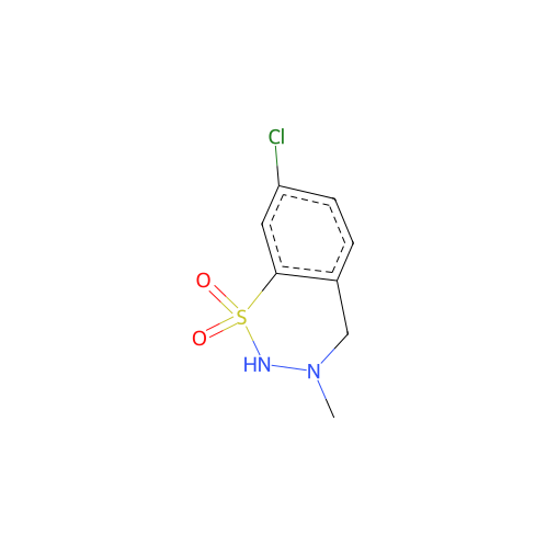 CN1Cc2ccc(Cl)cc2S(=O)(=O)N1